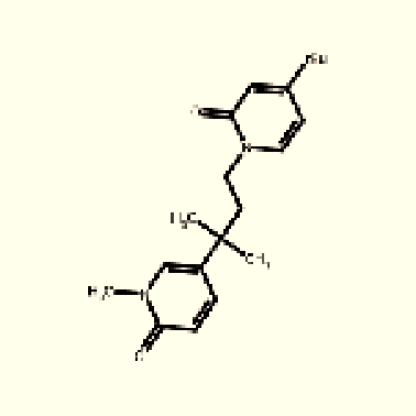 Cn1cc(C(C)(C)CCn2ccc(C(C)(C)C)cc2=O)ccc1=O